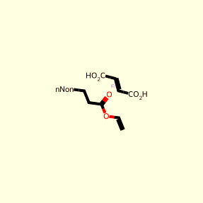 C=COC(=O)CCCCCCCCCCC.O=C(O)/C=C/C(=O)O